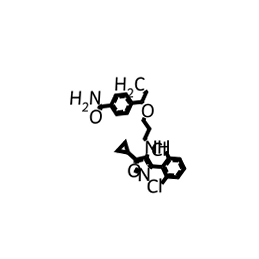 C=CC(OCCCNc1c(-c2c(Cl)cccc2Cl)noc1C1CC1)c1ccc(C(N)=O)cc1